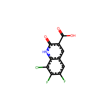 O=C(O)c1cc2cc(F)c(F)c(Cl)c2[nH]c1=O